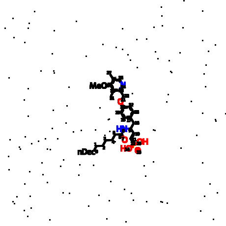 CCCCCCCCCCCCCCCC(=O)NC(C=CP(=O)(O)O)Cc1ccc(OCc2ncc(C)c(OC)c2C)cc1